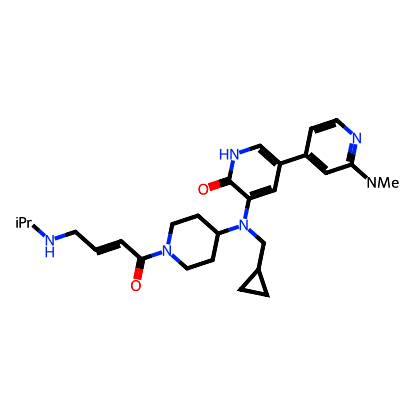 CNc1cc(-c2c[nH]c(=O)c(N(CC3CC3)C3CCN(C(=O)/C=C/CNC(C)C)CC3)c2)ccn1